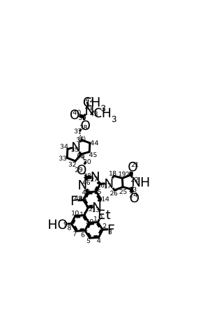 CCc1c(F)ccc2cc(O)cc(-c3ncc4c(N5CC6C(=O)NC(=O)C6C5)nc(OC[C@]56CCCN5[C@H](COC(=O)N(C)C)CC6)nc4c3F)c12